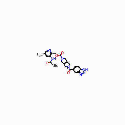 CC(C)(C)C(=O)Nc1cc(C(F)(F)F)cnc1COC(=O)N1CC2=C(C1)CN(C(=O)c1ccc3[nH]nnc3c1)C2